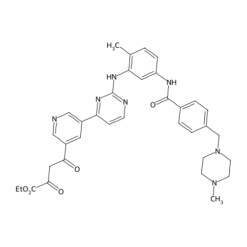 CCOC(=O)C(=O)CC(=O)c1cncc(-c2ccnc(Nc3cc(NC(=O)c4ccc(CN5CCN(C)CC5)cc4)ccc3C)n2)c1